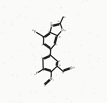 C=Nc1c(F)cc(-c2cc(F)c3nc(C)oc3c2)cc1C=O